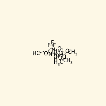 C#CCOc1cc(C(F)(F)F)nc(N[C@H]2[C@H]3OC[C@](COC)(O3)[C@@H]3OC(C)(C)O[C@H]23)n1